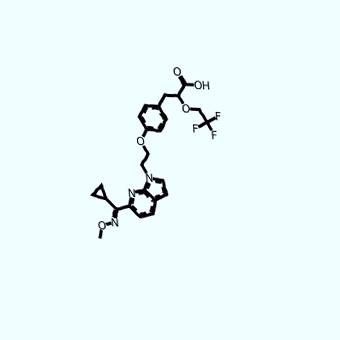 CON=C(c1ccc2ccn(CCOc3ccc(CC(OCC(F)(F)F)C(=O)O)cc3)c2n1)C1CC1